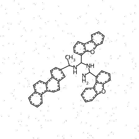 CC(NC(NC(N)c1cccc2oc3ccccc3c12)c1cccc2c1oc1ccccc12)c1ccc2c(ccc3c4ccccc4ccc23)c1